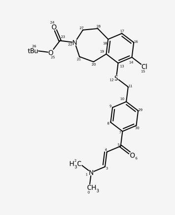 CN(C)C=CC(=O)c1ccc(CSc2c(Cl)ccc3c2CCN(C(=O)OC(C)(C)C)CC3)cc1